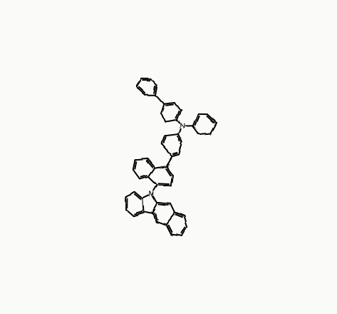 C1=CCCC(N(C2=CC=C(c3ccccc3)CC2)c2ccc(-c3ccc(-n4c5ccccc5c5cc6ccccc6cc54)c4ccccc34)cc2)=C1